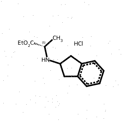 CCOC(=O)[C@H](C)NC1Cc2ccccc2C1.Cl